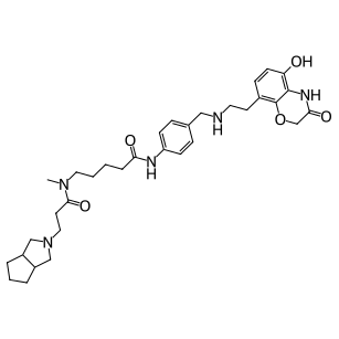 CN(CCCCC(=O)Nc1ccc(CNCCc2ccc(O)c3c2OCC(=O)N3)cc1)C(=O)CCN1CC2CCCC2C1